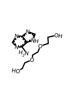 Nc1ncnc2nc[nH]c12.OCCOCCOCCO